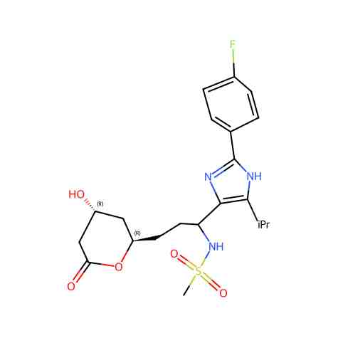 CC(C)c1[nH]c(-c2ccc(F)cc2)nc1C(CC[C@@H]1C[C@@H](O)CC(=O)O1)NS(C)(=O)=O